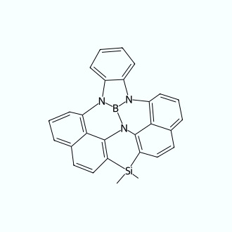 C[Si]1(C)c2ccc3cccc4c3c2N2B3N4c4ccccc4N3c3cccc4ccc1c2c34